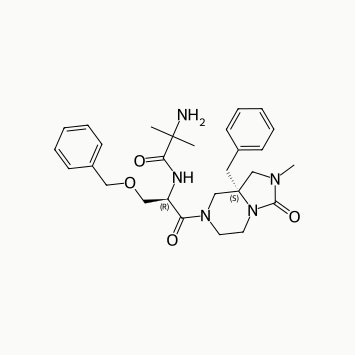 CN1C[C@]2(Cc3ccccc3)CN(C(=O)[C@@H](COCc3ccccc3)NC(=O)C(C)(C)N)CCN2C1=O